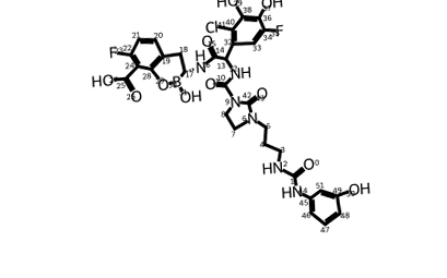 O=C(NCCCN1CCN(C(=O)NC(C(=O)N[C@H]2Cc3ccc(F)c(C(=O)O)c3OB2O)c2cc(F)c(O)c(O)c2Cl)C1=O)Nc1cccc(O)c1